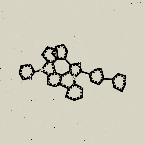 c1ccc(-c2ccc(-c3nc(-c4ccccc4)c4c5c(ccc6c5c5ccccc5n6-c5ccccn5)c5ccccc5n34)cc2)cc1